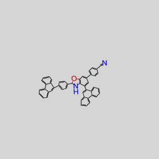 N#Cc1ccc(-c2cc3c(c(-c4cc5ccccc5c5ccccc45)c2)NC(c2ccc(-c4cc5ccccc5c5ccccc45)cc2)O3)cc1